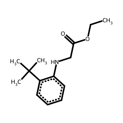 CCOC(=O)CNc1ccccc1C(C)(C)C